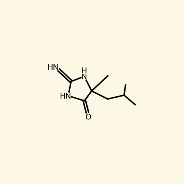 CC(C)CC1(C)NC(=N)NC1=O